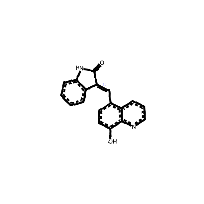 O=C1Nc2ccccc2/C1=C\c1ccc(O)c2ncccc12